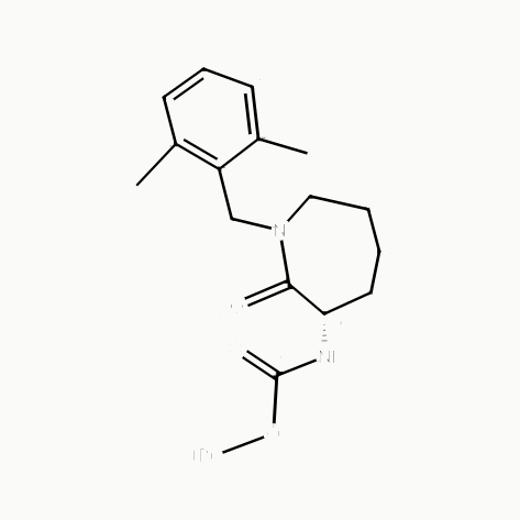 Cc1cccc(C)c1CN1CCCC[C@H](NC(=O)OC(C)(C)C)C1=O